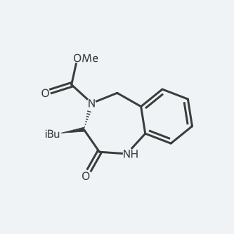 CC[C@H](C)[C@H]1C(=O)Nc2ccccc2CN1C(=O)OC